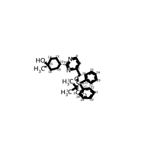 CC(C)(C)[Si](OCc1ccnc([C@H]2CC[C@](C)(O)CC2)n1)(c1ccccc1)c1ccccc1